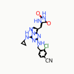 N#Cc1ccc(CNc2nc(NC3CC3)n3ncc(/C=C4\NC(=O)NC4=O)c3n2)c(Cl)c1